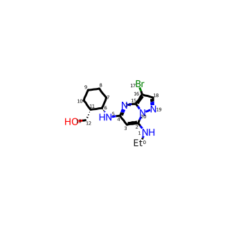 CCNc1cc(N[C@H]2CCCC[C@H]2CO)nc2c(Br)cnn12